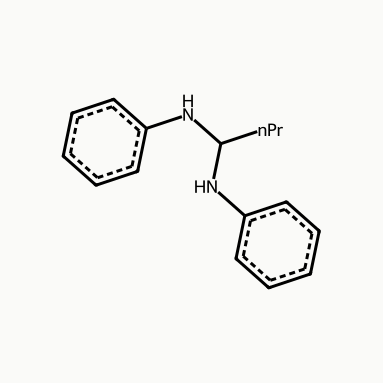 C[CH]CC(Nc1ccccc1)Nc1ccccc1